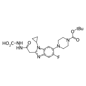 CC(C)(C)OC(=O)N1CCN(c2cc3c(cc2F)nc(CC(=O)NNC(=O)O)n3C2CC2)CC1